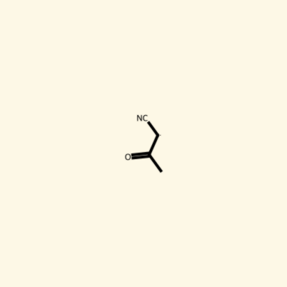 CC(=O)[CH]C#N